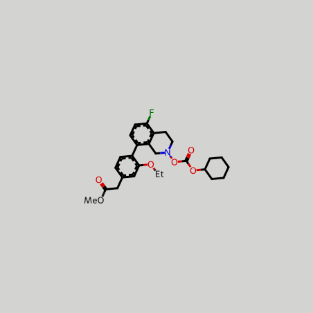 CCOc1cc(CC(=O)OC)ccc1-c1ccc(F)c2c1CN(OC(=O)OC1CCCCC1)CC2